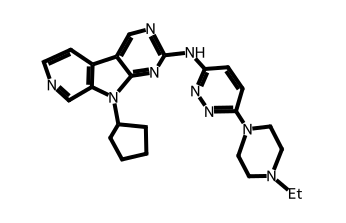 CCN1CCN(c2ccc(Nc3ncc4c5ccncc5n(C5CCCC5)c4n3)nn2)CC1